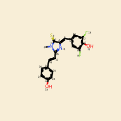 CN1C(=S)/C(=C/c2cc(F)c(O)c(F)c2)N=C1/C=C/c1ccc(O)cc1